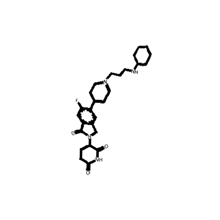 O=C1CCC(N2Cc3cc(C4CCN(CCCNC5CCCCC5)CC4)c(F)cc3C2=O)C(=O)N1